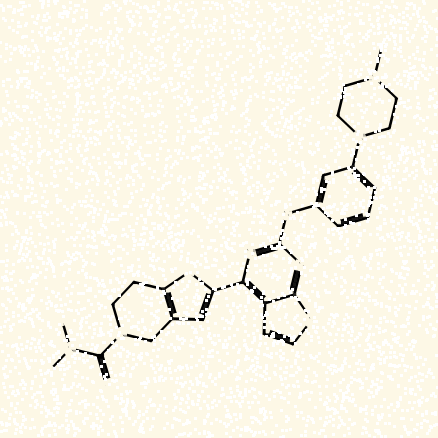 CCN(CC)C(=O)N1CCc2sc(-c3nc(Nc4cccc(N5CCN(C)CC5)c4)nc4[nH]ccc34)cc2C1